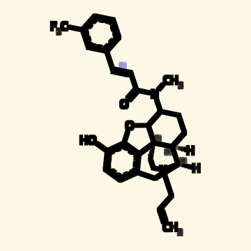 C=CCN1CC[C@]23c4c5ccc(O)c4OC2C(N(C)C(=O)/C=C/c2cccc(C(F)(F)F)c2)CC[C@H]3[C@H]1C5